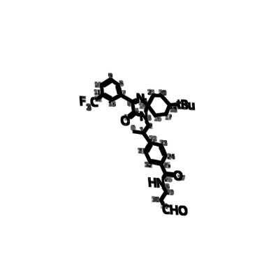 CC(CN1C(=O)C(c2cccc(C(F)(F)F)c2)=NC12CCC(C(C)(C)C)CC2)c1ccc(C(=O)NCCC=O)cc1